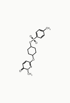 Cc1ccc(S(=O)(=O)OC2CCC(Oc3ccc(=O)n(C)n3)CC2)cc1